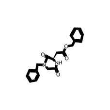 O=C1CN(Cc2ccccc2)C(=O)[C@@H](CC(=O)OCc2ccccc2)N1